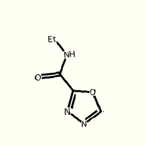 CCNC(=O)c1nn[c]o1